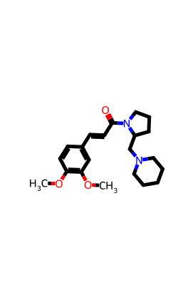 COc1ccc(C=CC(=O)N2CCCC2CN2CCCCC2)cc1OC